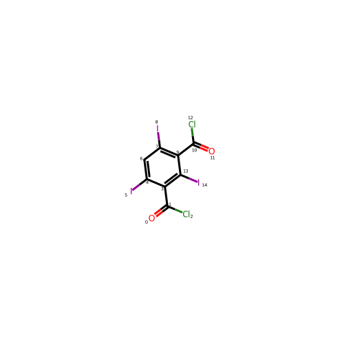 O=C(Cl)c1c(I)cc(I)c(C(=O)Cl)c1I